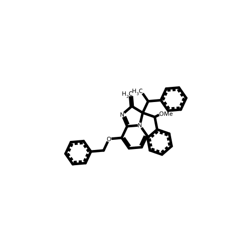 C=C1N=C2C(OCc3ccccc3)=CC=CN2C1(C(C)c1ccccc1)C(OC)c1ccccc1